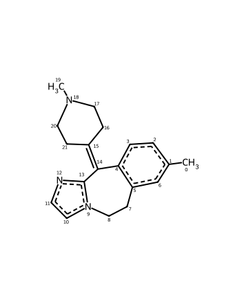 Cc1ccc2c(c1)CCn1ccnc1C2=C1CCN(C)CC1